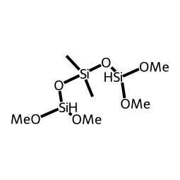 CO[SiH](OC)O[Si](C)(C)O[SiH](OC)OC